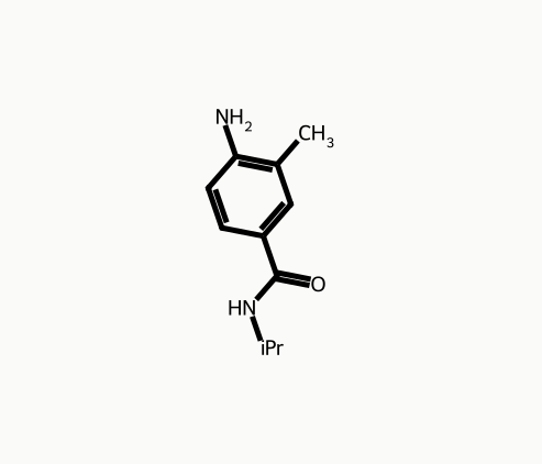 Cc1cc(C(=O)NC(C)C)ccc1N